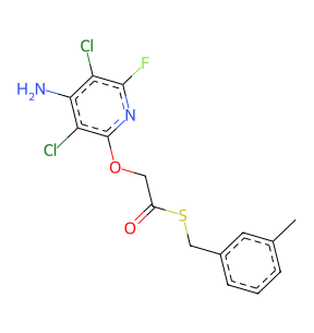 Cc1cccc(CSC(=O)COc2nc(F)c(Cl)c(N)c2Cl)c1